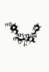 CC(C)C[C@H](NC(=O)C1OC1C(=O)NCCc1ccc(O)cc1)C(=O)NCCc1ccccn1